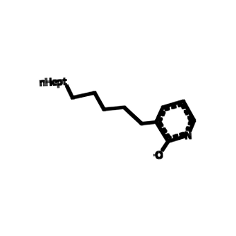 CCCCCCCCCCCCc1cccnc1[O]